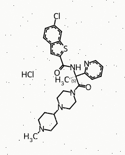 CN1CCC(N2CCN(C(=O)[C@@](C)(NC(=O)c3cc4ccc(Cl)cc4s3)c3ccccn3)CC2)CC1.Cl